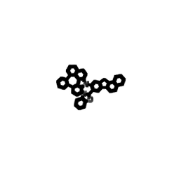 c1ccc2c(c1)-c1cccc3ccc4c(c13)c1c-2cccc1n4-c1cc2c(cc1-c1nc3ccccc3o1)-c1ccc3ccccc3c1C2